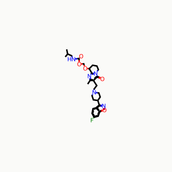 Cc1nc2n(c(=O)c1CCN1CCC(c3noc4cc(F)ccc34)CC1)CCCC2OCOC(=O)NCC(C)C